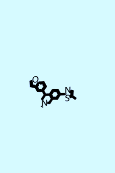 Cc1cnc(-c2ccc3c(c2)CN(C)CC3c2ccc3occc3c2)s1